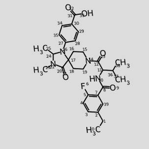 CCc1ccc(F)c(C(=O)NC(C(=O)N2CCC3(CC2)C(=O)N(C)C(C)N3c2ccc(C(=O)O)cc2)C(C)C)c1